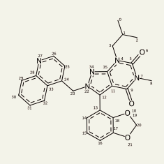 CC(C)Cn1c(=O)n(C)c(=O)c2c(-c3cccc4c3OCO4)n(Cc3ccnc4ccccc34)nc21